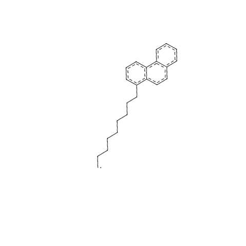 [CH2]CCCCCCCCc1cccc2c1ccc1ccccc12